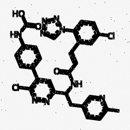 Cc1ccc(CC(NC(=O)C=Cc2cc(Cl)ccc2-n2cnnn2)c2cc(-c3ccc(NC(=O)O)cc3)c(Cl)nn2)cn1